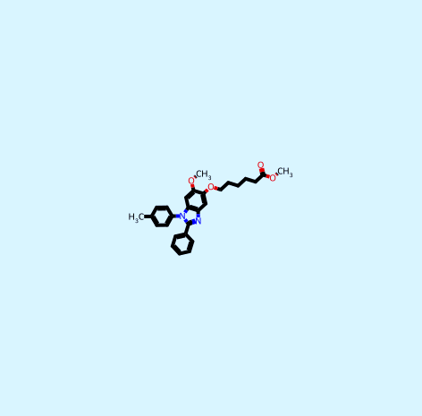 COC(=O)CCCCCOc1cc2nc(-c3ccccc3)n(-c3ccc(C)cc3)c2cc1OC